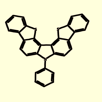 c1ccc(-n2c3ccc4c5ccccc5sc4c3c3c4sc5ccccc5c4ccc32)cc1